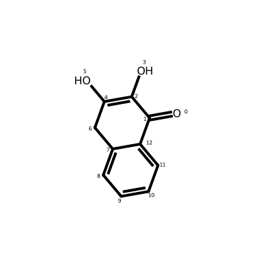 O=C1C(O)=C(O)Cc2ccccc21